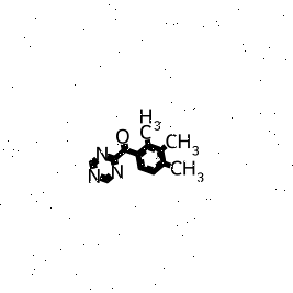 Cc1ccc(C(=O)c2ncncn2)c(C)c1C